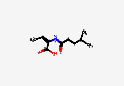 C/C=C(/NC(=O)CCC(C)C)C(=O)O